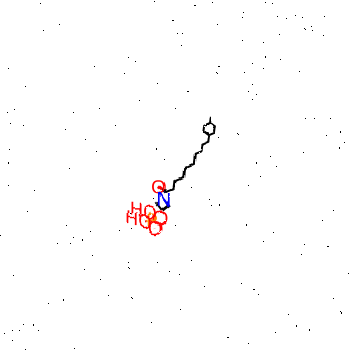 Cc1ccc(CCCCCCCCCC(=O)N2CC(OP(=O)(O)O)C2)cc1